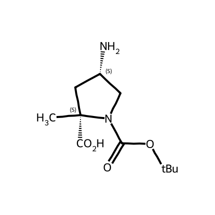 CC(C)(C)OC(=O)N1C[C@@H](N)C[C@@]1(C)C(=O)O